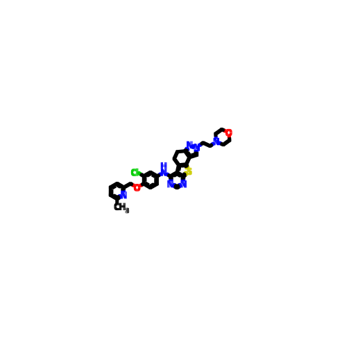 Cc1cccc(COc2ccc(Nc3ncnc4sc5c(c34)CCc3nn(CCN4CCOCC4)cc3-5)cc2Cl)n1